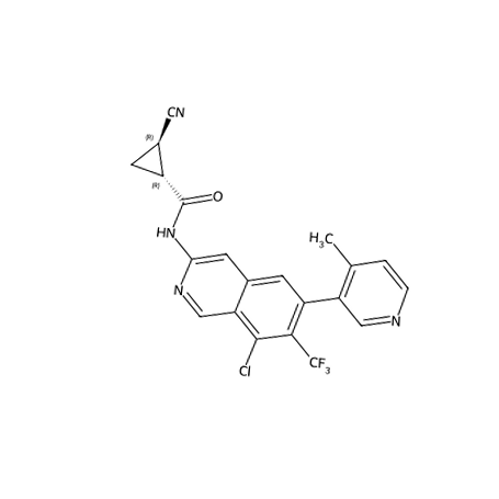 Cc1ccncc1-c1cc2cc(NC(=O)[C@@H]3C[C@H]3C#N)ncc2c(Cl)c1C(F)(F)F